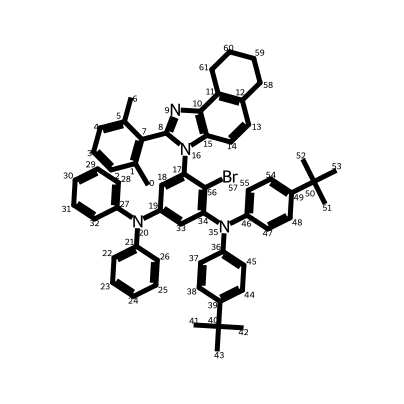 Cc1cccc(C)c1-c1nc2c3c(ccc2n1-c1cc(N(c2ccccc2)c2ccccc2)cc(N(c2ccc(C(C)(C)C)cc2)c2ccc(C(C)(C)C)cc2)c1Br)CCCC3